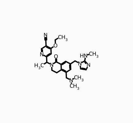 CCOc1cc(C(C)N2CCc3c(CN(C)C)cc(Cn4ccnc4NC)cc3C2=O)ncc1C#N